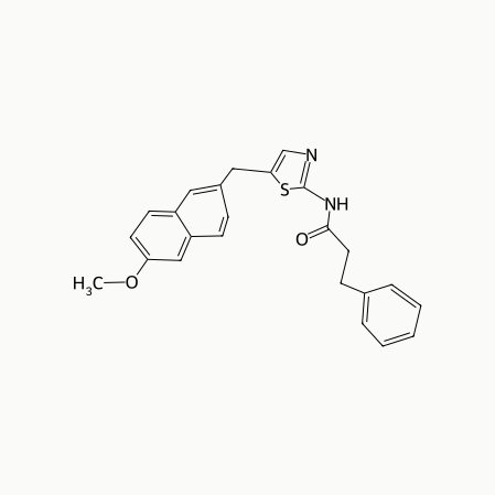 COc1ccc2cc(Cc3cnc(NC(=O)CCc4ccccc4)s3)ccc2c1